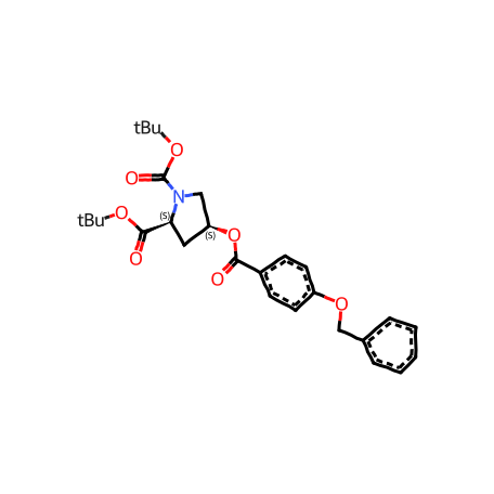 CC(C)(C)OC(=O)[C@@H]1C[C@H](OC(=O)c2ccc(OCc3ccccc3)cc2)CN1C(=O)OC(C)(C)C